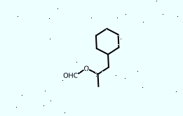 CC(CC1CCCCC1)OC=O